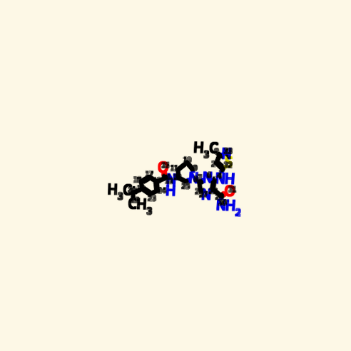 Cc1cc(Nc2nc(N3CCCC(NC(=O)c4ccc(C(C)C)cc4)C3)cnc2C(N)=O)sn1